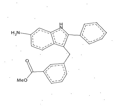 COC(=O)c1cccc(Cc2c(-c3ccccc3)[nH]c3cc(N)ccc23)c1